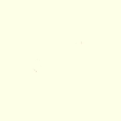 O=C(OCC(=O)N1CCCCC1)c1ccc(O)cc1